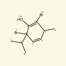 CC1C=CC(Br)(C(C)C)C(O)=C1Br